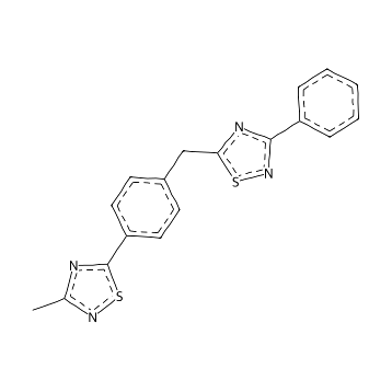 Cc1nsc(-c2ccc(Cc3nc(-c4ccccc4)ns3)cc2)n1